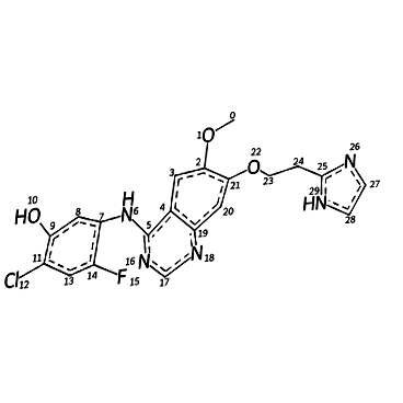 COc1cc2c(Nc3cc(O)c(Cl)cc3F)ncnc2cc1OCCc1ncc[nH]1